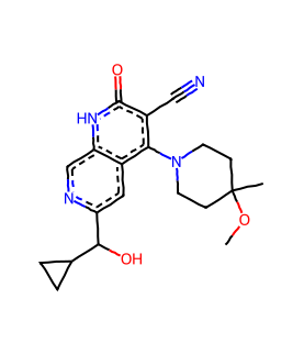 COC1(C)CCN(c2c(C#N)c(=O)[nH]c3cnc(C(O)C4CC4)cc23)CC1